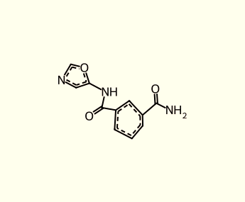 NC(=O)c1cccc(C(=O)Nc2cnco2)c1